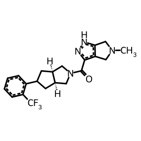 CN1Cc2[nH]nc(C(=O)N3C[C@H]4CC(c5ccccc5C(F)(F)F)C[C@H]4C3)c2C1